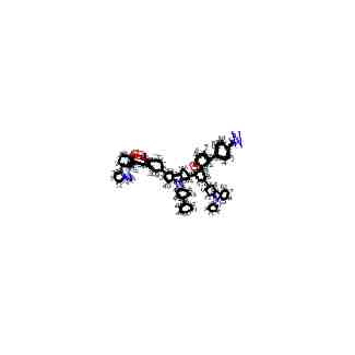 N#Cc1ccc(-c2ccc3oc4c(-c5ccc6c7cc(-c8ccc9oc%10ccc(-c%11ccccn%11)cc%10c9c8)ccc7n(-c7ccc(-c8ccccc8)cc7)c6c5)cc(-c5ccc6c(c5)c5ccccc5n6-c5ccccc5)cc4c3c2)cc1